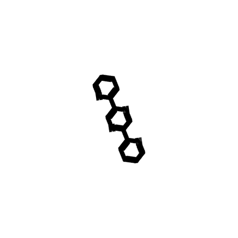 c1ccc(-c2cnc(-c3ccccn3)cn2)nc1